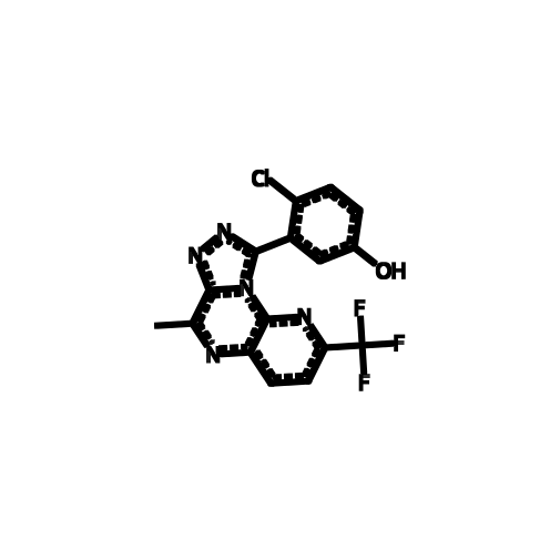 Cc1nc2ccc(C(F)(F)F)nc2n2c(-c3cc(O)ccc3Cl)nnc12